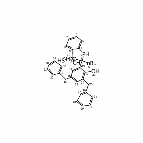 CCCCC(C)(Pc1ccccc1C(C)S)c1cc(Cc2ccccc2)cc(Cc2ccccc2)c1O